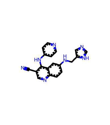 N#Cc1cnc2ccc(NCc3cnc[nH]3)cc2c1Nc1ccncc1